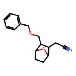 N#CCC1C2CCC(O2)C1COCc1ccccc1